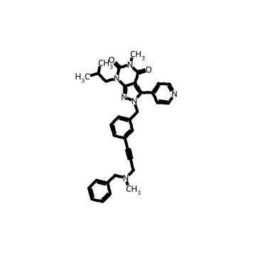 CC(C)Cn1c(=O)n(C)c(=O)c2c(-c3ccncc3)n(Cc3cccc(C#CCN(C)Cc4ccccc4)c3)nc21